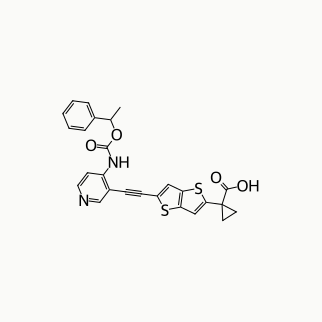 CC(OC(=O)Nc1ccncc1C#Cc1cc2sc(C3(C(=O)O)CC3)cc2s1)c1ccccc1